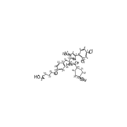 CCCCn1cc(-c2ccc(Cl)cc2Cl)nc1[C@H](Cc1ccc(OCCCC(=O)O)cc1)NC(=O)C1CCC(C(C)(C)C)CC1